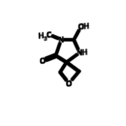 CN1C(=O)C2(COC2)NC1O